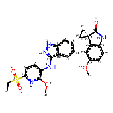 CCS(=O)(=O)c1ccc(Nc2n[nH]c3cc([C@@H]4C[C@@]45C(=O)Nc4ccc(OC)cc45)ccc23)c(OC)n1